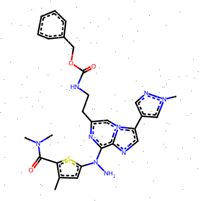 Cc1cc(N(N)c2nc(CCNC(=O)OCc3ccccc3)cn3c(-c4cnn(C)c4)cnc23)sc1C(=O)N(C)C